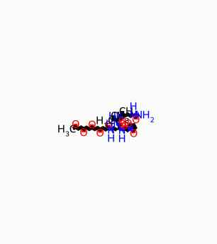 CC(=O)CCC(=O)CCC(=O)CCC(=O)CCC(=O)NCC[C@H](NC(=O)CN1C(=O)C=CC1=O)C(=O)N[C@H](C(=O)NC(C)CCCNC(N)=O)C(C)C